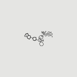 CC(C)(C)OC(=O)N1CCN(C(CC2(O)CCCCC2)c2ccc(-c3ccc4occc4c3)cc2)CC1